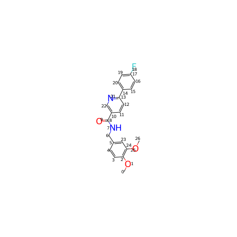 COc1ccc(CNC(=O)c2ccc(-c3ccc(F)cc3)nc2)cc1OC